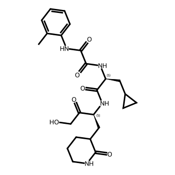 Cc1ccccc1NC(=O)C(=O)N[C@@H](CC1CC1)C(=O)N[C@@H](CC1CCCNC1=O)C(=O)CO